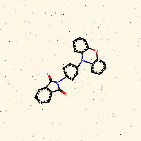 O=C1c2ccccc2C(=O)N1c1ccc(N2c3ccccc3Oc3ccccc32)cc1